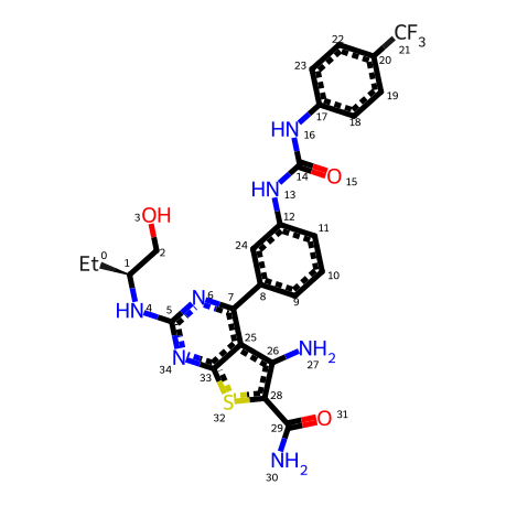 CC[C@@H](CO)Nc1nc(-c2cccc(NC(=O)Nc3ccc(C(F)(F)F)cc3)c2)c2c(N)c(C(N)=O)sc2n1